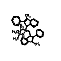 CC1=C(c2ccccc2)C(C[Si](C)(N[SiH](C)C)C2C(c3ccccc3)=C(C)c3ccccc32)c2ccccc21